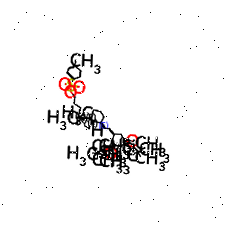 Cc1ccc(S(=O)(=O)OCCC[C@@H](C)[C@H]2CC[C@H]3/C(=C/C=C4C[C@@H](O[Si](C)(C)C(C)(C)C)C[C@H](O[Si](C)(C)C(C)(C)C)C4)CCC[C@]23C)cc1